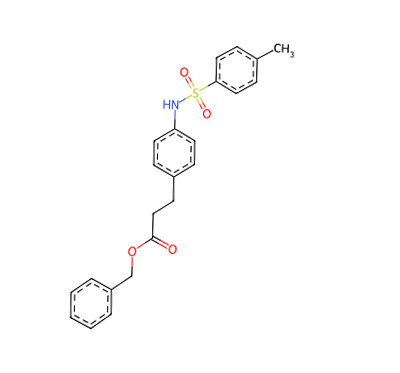 Cc1ccc(S(=O)(=O)Nc2ccc(CCC(=O)OCc3ccccc3)cc2)cc1